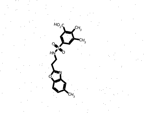 Cc1ccc2oc(CCNS(=O)(=O)c3cc(C)c(C)c(C(=O)O)c3)nc2c1